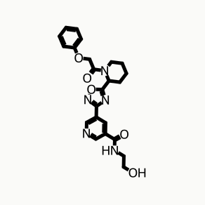 O=C(NCCO)c1cncc(-c2noc(C3CCCCN3C(=O)COc3ccccc3)n2)c1